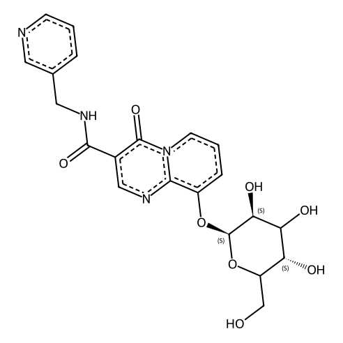 O=C(NCc1cccnc1)c1cnc2c(O[C@@H]3OC(CO)[C@@H](O)C(O)[C@@H]3O)cccn2c1=O